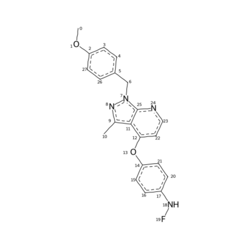 COc1ccc(Cn2nc(C)c3c(Oc4ccc(NF)cc4)ccnc32)cc1